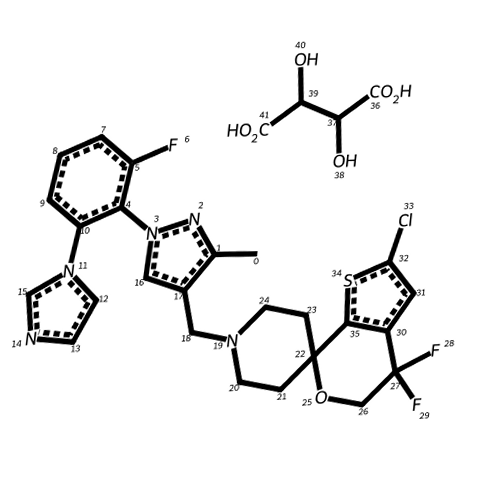 Cc1nn(-c2c(F)cccc2-n2ccnc2)cc1CN1CCC2(CC1)OCC(F)(F)c1cc(Cl)sc12.O=C(O)C(O)C(O)C(=O)O